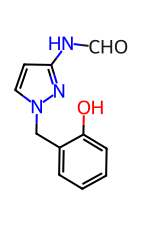 O=CNc1ccn(Cc2ccccc2O)n1